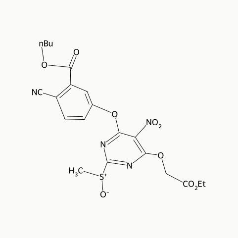 CCCCOC(=O)c1cc(Oc2nc([S+](C)[O-])nc(OCC(=O)OCC)c2[N+](=O)[O-])ccc1C#N